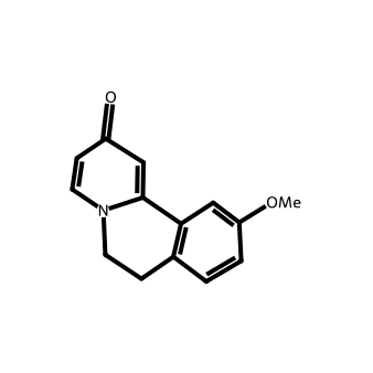 COc1ccc2c(c1)-c1cc(=O)ccn1CC2